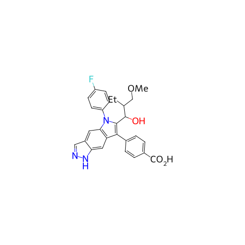 CCC(COC)C(O)c1c(-c2ccc(C(=O)O)cc2)c2cc3[nH]ncc3cc2n1-c1ccc(F)cc1